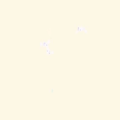 Nc1ccc2c(Cc3ccc(Cl)c(F)c3)n[nH]c(=O)c2c1